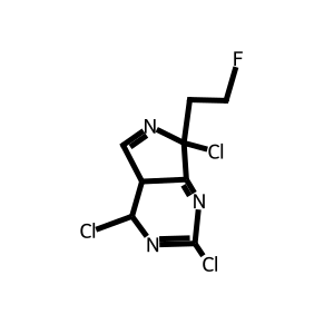 FCCC1(Cl)N=CC2C1=NC(Cl)=NC2Cl